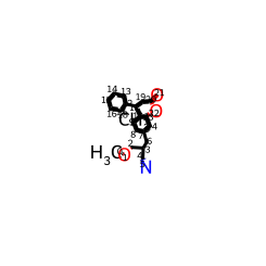 COCC(C#N)Cc1ccc2c(-c3ccccc3C)cc(=O)oc2c1